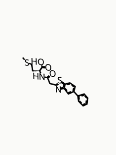 CSCC[C@H](NC(=O)Cc1nc2cc(-c3ccccc3)ccc2s1)C(=O)O